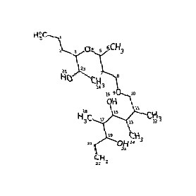 CCCC(OC(C)CCOCC(C)C(C)C(O)C(C)C(O)CC)C(C)O